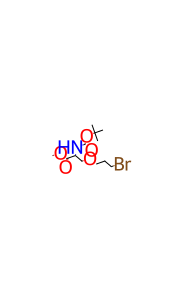 COC(=O)C(COCCCBr)NC(=O)OC(C)(C)C